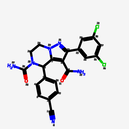 N#Cc1ccc(C2c3c(C(N)=O)c(-c4cc(Cl)cc(Cl)c4)nn3CCN2C(N)=O)cc1